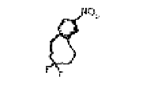 O=[N+]([O-])c1ccc2c(c1)CCC(F)(F)CC2